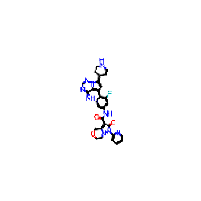 Nc1ncnn2c(C3CCNCC3)cc(-c3ccc(NC(=O)c4c5n(n(-c6ccccn6)c4=O)CCOC5)cc3F)c12